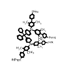 CCCCCCc1ccc(-c2c(C)cc(N(c3ccc(C(c4ccccc4)(c4ccccc4)c4ccc(N(c5cc(C)c(-c6ccc(CCCCC)cc6)c(C)c5)c5cc(C)c(-c6ccc(CCCCCC)cc6)c(C)c5)cc4)cc3)c3cc(C)c(-c4ccc(CCCCC)cc4)c(C)c3)cc2C)cc1